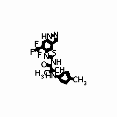 Cc1ccc(NC(C)(C)C(=O)Nc2nc3c(C(F)(F)F)cc4[nH]ncc4c3s2)cc1